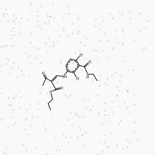 CCCOC(=O)C(=CNc1ccc(Cl)c(C(=O)NCC)c1Cl)C(C)=O